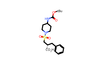 CC(C)(C)OC(=O)NC1CCN(S(=O)(=O)C[C@H](Cc2ccccc2)C(=O)O)CC1